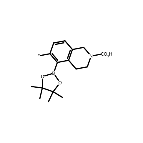 CC1(C)OB(c2c(F)ccc3c2CCN(C(=O)O)C3)OC1(C)C